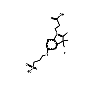 CC1=[N+](CCC(=O)O)c2ccc(OCCCS(=O)(=O)O)cc2C1(C)C.[I-]